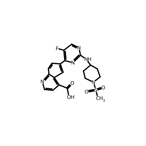 CS(=O)(=O)N1CCC(Nc2ncc(F)c(-c3ccc4nccc(C(=O)O)c4c3)n2)CC1